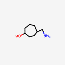 NCC1CCCC(O)CC1